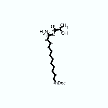 CCCCCCCCCCCCCCCCCCCCCC(N)OC(=O)C(C)O